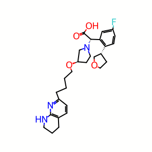 O=C(O)[C@H](c1cc(F)ccc1[C@@H]1CCOC1)N1CC[C@@H](OCCCCc2ccc3c(n2)NCCC3)C1